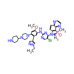 CCn1cc(-c2cc(Nc3ncc(Br)c(Nc4ccc5nccnc5c4P(C)(C)=O)n3)c(OC)cc2N2CCN(C3CCNCC3)CC2)cn1